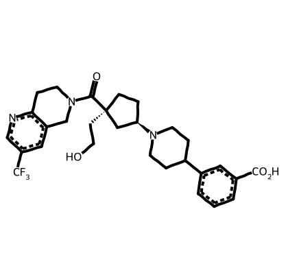 O=C(O)c1cccc(C2CCN([C@@H]3CC[C@](CCO)(C(=O)N4CCc5ncc(C(F)(F)F)cc5C4)C3)CC2)c1